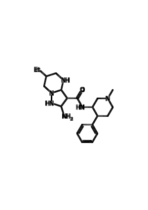 CCC1CNC2C(C(=O)NC3CN(C)CCC3c3ccccc3)C(N)NN2C1